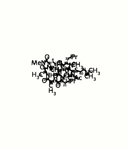 CNC(=O)[C@H](CC(C)C)N(C)C(=O)[C@@H](C)NC(=O)[C@@H](C)NC(=O)[C@H](CC(C)C)N(C)C(=O)[C@@H](NC(=O)[C@H](CC(C)C)N(C)C(=O)[C@@H](SCCN(C)C)N(C)C(C)=O)C(C)C